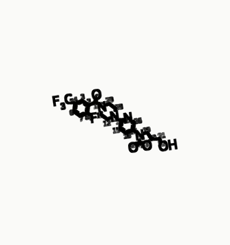 O=C(c1cc(C(F)(F)F)ccc1F)N1CCN(c2ccc(N3CC(CO)OC3=O)cn2)CC1